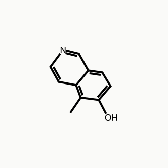 Cc1c(O)ccc2cnccc12